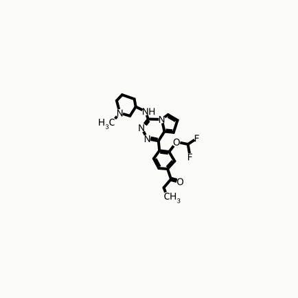 CCC(=O)c1ccc(-c2nnc(NC3CCCN(C)C3)n3cccc23)c(OC(F)F)c1